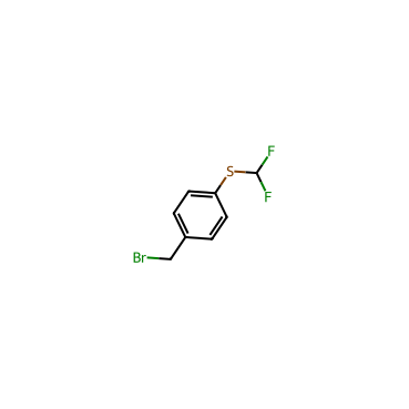 FC(F)Sc1ccc(CBr)cc1